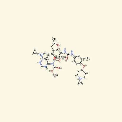 CC1Cc2c(-c3cn(C4CC4)c4ncnc(N(C(=O)OC(C)(C)C)C(=O)OC(C)(C)C)c34)ccc(NC(=O)Nc3ccc(OC4CCN(C)CC4)c(C(F)(F)F)c3)c2O1